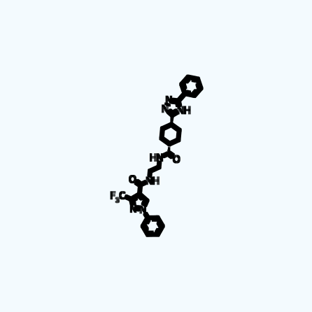 O=C(NCCNC(=O)[C@H]1CC[C@H](c2nnc(-c3ccccc3)[nH]2)CC1)c1cn(-c2ccccc2)nc1C(F)(F)F